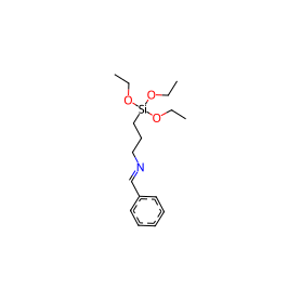 CCO[Si](CCCN=Cc1ccccc1)(OCC)OCC